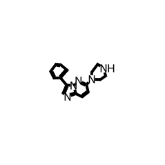 c1ccc(-c2cnc3ccc(N4CCNCC4)nn23)cc1